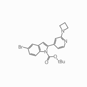 CC(C)(C)OC(=O)n1c(-c2ccnc(N3CCC3)c2)cc2cc(Br)ccc21